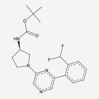 CC(C)(C)OC(=O)N[C@@H]1CCN(c2cncc(-c3ccccc3C(F)F)n2)C1